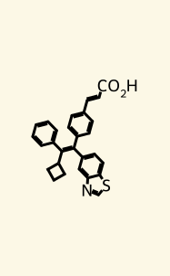 O=C(O)C=Cc1ccc(C(=C(c2ccccc2)C2CCC2)c2ccc3scnc3c2)cc1